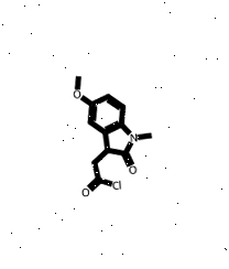 COc1ccc2c(c1)C(CC(=O)Cl)C(=O)N2C